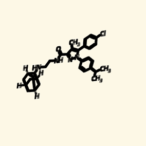 Cc1c(C(=O)NCCNC2[C@H]3C[C@@H]4C[C@@H](C[C@H]2C4)C3)nn(-c2ccc(C(C)C)cc2)c1-c1ccc(Cl)cc1